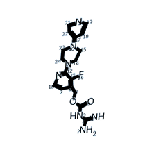 N=C(N)NC(=O)OCc1ccnc(N2CCN(c3ccncc3)CC2)c1F